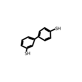 Sc1ccc(-c2cccc(S)c2)cc1